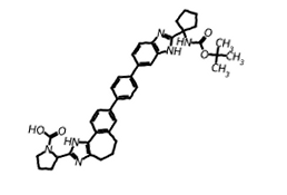 CC(C)(C)OC(=O)NC1(c2nc3ccc(-c4ccc(-c5ccc6c(c5)CCCc5nc(C7CCCN7C(=O)O)[nH]c5-6)cc4)cc3[nH]2)CCCC1